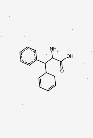 NC(C(=O)O)C(c1ccccc1)C1C=CC=CC1